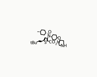 CC(C)(C)C#Cc1cc(N(C(=O)[C@H]2CC[C@H](C)CC2)[C@H]2CC[C@H](OC3CCNCC3)CC2)c(C(=O)O)s1